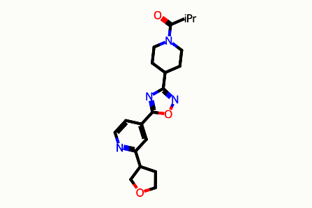 CC(C)C(=O)N1CCC(c2noc(-c3ccnc(C4CCOC4)c3)n2)CC1